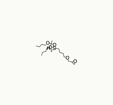 CCCCOC(C)(OCCCC)O[SiH2]CCCCOCC1CO1